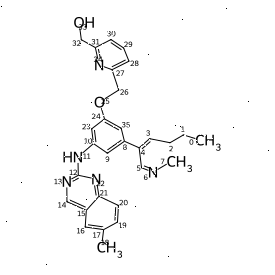 CCC/C=C(\C=N/C)c1cc(Nc2ncc3cc(C)ccc3n2)cc(OCc2cccc(CO)n2)c1